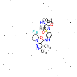 Cc1c(C(F)(F)F)nnc(N2CCCC(F)(F)CC2)c1C(=O)Nc1cccc(S(C)(=O)=NC(=O)C(C)(C)NC(=O)O)c1